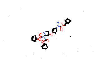 O=C(Nc1ccc(Oc2ccnc(N(C(=O)Oc3ccccc3)C(=O)Oc3ccccc3)c2)cc1)OCc1ccccc1